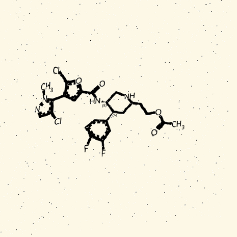 CC(=O)OCCC1C[C@@H](c2ccc(F)c(F)c2)[C@H](NC(=O)c2cc(-c3c(Cl)cnn3C)c(Cl)o2)CN1